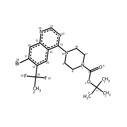 CC(C)(C)OC(=O)N1CCN(c2ncnc3cc(Br)c(C(C)(F)F)cc23)CC1